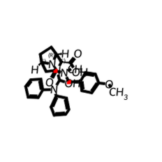 COc1ccc(CN(C)C(=O)N2[C@H]3CC[C@@H]2[C@@H](C(=O)O)N(C(O)N(c2ccccc2)c2ccccc2)C3)cc1